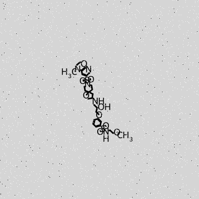 COCCNS(=O)(=O)c1cccc(OCC(O)CNC2COC3(CCN(S(=O)(=O)c4cnc5c(c4)N(C)CCO5)CC3)C2)c1